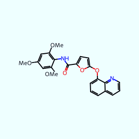 COc1cc(OC)c(NC(=O)c2ccc(Oc3cccc4cccnc34)o2)c(OC)c1